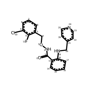 O=C(NOCc1cccc(Cl)c1F)c1ccccc1NCc1ccncc1